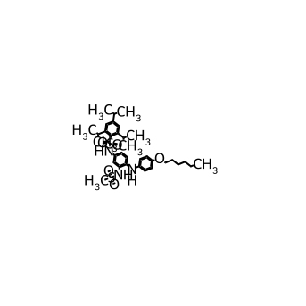 CCCCCCOc1ccc(Nc2ccc(NS(=O)(=O)c3c(C(C)C)cc(C(C)C)cc3C(C)C)cc2NS(C)(=O)=O)cc1